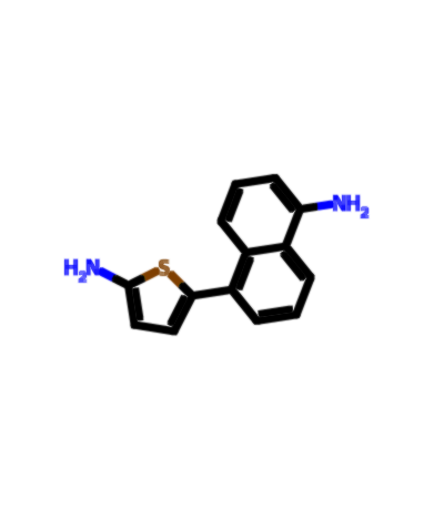 Nc1ccc(-c2cccc3c(N)cccc23)s1